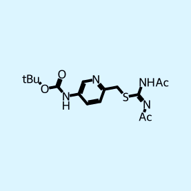 CC(=O)/N=C(/NC(C)=O)SCc1ccc(NC(=O)OC(C)(C)C)cn1